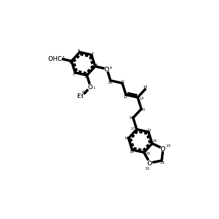 CCOc1cc(C=O)ccc1OCCC=C(C)CCc1ccc2c(c1)OCO2